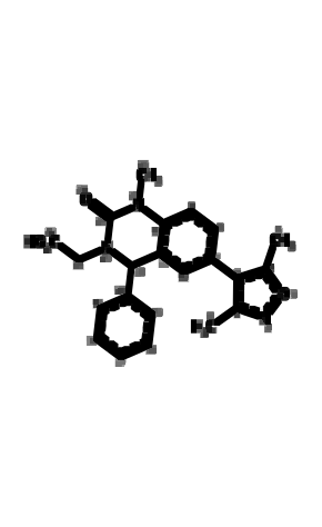 Cc1noc(C)c1-c1ccc2c(c1)C(c1ccccc1)N(CC(=O)O)C(=O)N2C